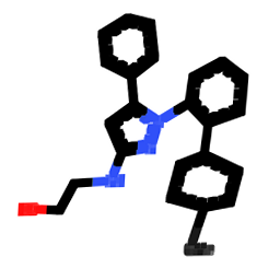 COc1ccc(-c2ccccc2-n2nc(NCCO)cc2-c2ccccc2)cc1